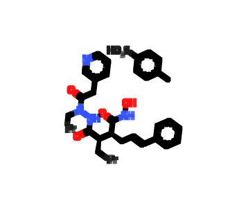 CC(C)C[C@@H](C(=O)NN(CC(C)C)C(=O)Cc1cccnc1)[C@H](CC=Cc1ccccc1)C(=O)NO.Cc1ccc(S(=O)(=O)O)cc1